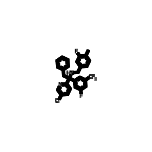 Cc1ccc(CNC(Cc2ccccc2)(c2cc(F)cc(C(F)(F)F)c2)c2ccc(Cl)cn2)cc1F